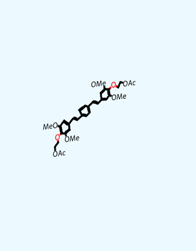 COc1cc(/C=C/c2ccc(/C=C/c3cc(OC)c(OCCOC(C)=O)c(OC)c3)cc2)cc(OC)c1OCCOC(C)=O